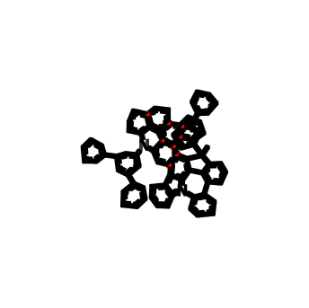 CC1(c2cccc(-c3ccccc3)c2)c2cccc3c2-c2c1c(-c1cccc(-c4ccccc4N(c4cc(-c5ccccc5)cc(-c5ccccc5)c4)c4cccc(-c5ccccc5)c4-c4ccccc4)c1)cc1c4ccccc4n(c21)-c1ccccc1-3